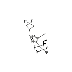 Cc1cn(CC2CC(F)(F)C2)nc1C(F)(F)C(F)(F)F